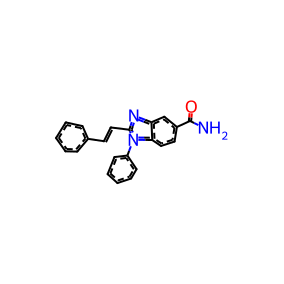 NC(=O)c1ccc2c(c1)nc(/C=C/c1ccccc1)n2-c1ccccc1